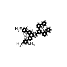 Cc1cc(C)c(-c2ccc3c(c2)c2cc(-c4c(C)cc(C)cc4C)ccc2c2nc(-c4cc(-c5cccc6c5oc5ccccc56)cc(-c5cccc6c5oc5ccccc56)c4)cnc32)c(C)c1